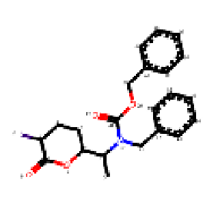 CC(C1CCC(I)C(=O)O1)N(Cc1ccccc1)C(=O)OCc1ccccc1